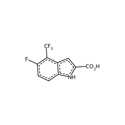 O=C(O)c1cc2c(C(F)(F)F)c(F)ccc2[nH]1